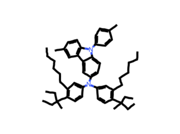 CCCCCCc1cc(N(c2ccc(C(C)(CC)CC)c(CCCCCC)c2)c2ccc3c(c2)c2cc(C)ccc2n3-c2ccc(C)cc2)ccc1C(C)(CC)CC